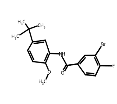 COc1ccc(C(C)(C)C)cc1NC(=O)c1ccc(F)c(Br)c1